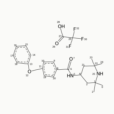 CC1(C)CC(NC(=O)c2ccc(Oc3ccccc3)cc2)CC(C)(C)N1.O=C(O)C(F)(F)F